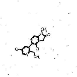 CN1C(=O)Cc2c1ccc(-c1cc(Cl)cnc1CO)c2Cl